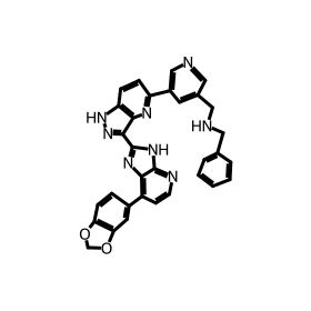 c1ccc(CNCc2cncc(-c3ccc4[nH]nc(-c5nc6c(-c7ccc8c(c7)OCO8)ccnc6[nH]5)c4n3)c2)cc1